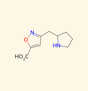 O=C(O)c1cc(CC2CCCN2)no1